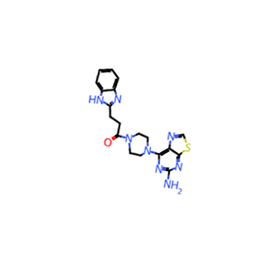 Nc1nc(N2CCN(C(=O)CCc3nc4ccccc4[nH]3)CC2)c2ncsc2n1